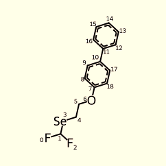 FC(F)[Se]CCOc1ccc(-c2ccccc2)cc1